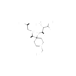 CCN1CCC(NC(=O)[C@@H](NO)C(C)C)(C(=O)NCC(=O)O)CC1